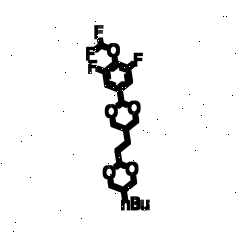 CCCCC1COC(CCC2COC(c3cc(F)c(OC(F)F)c(F)c3)OC2)OC1